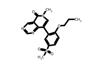 CCCOc1ccc(S(C)(=O)=O)cc1-c1cn(C)c(=O)c2cncnc12